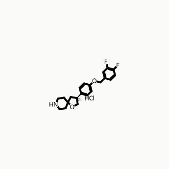 Cl.Fc1ccc(COc2ccc([C@H]3COC4(CCNCC4)C3)cc2)cc1F